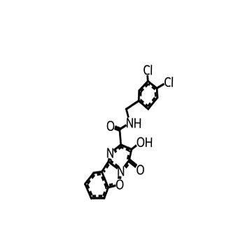 O=C(NCc1ccc(Cl)c(Cl)c1)c1nc2c3ccccc3on2c(=O)c1O